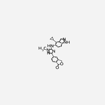 Cn1nc(-c2ccc3c(c2)COC3=O)nc1Nc1ccc2[nH]ncc2c1C1CC1